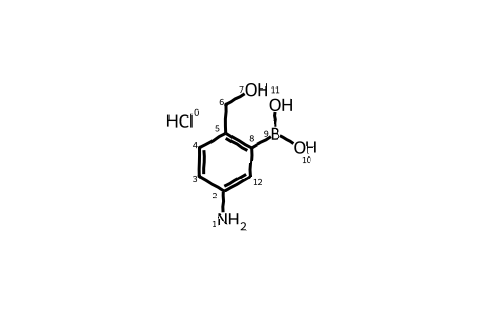 Cl.Nc1ccc(CO)c(B(O)O)c1